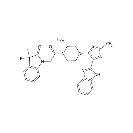 C[C@@H]1CN(c2sc(C(F)(F)F)nc2-c2nc3ccccc3[nH]2)CCN1C(=O)CN1C(=O)C(F)(F)c2ccccc21